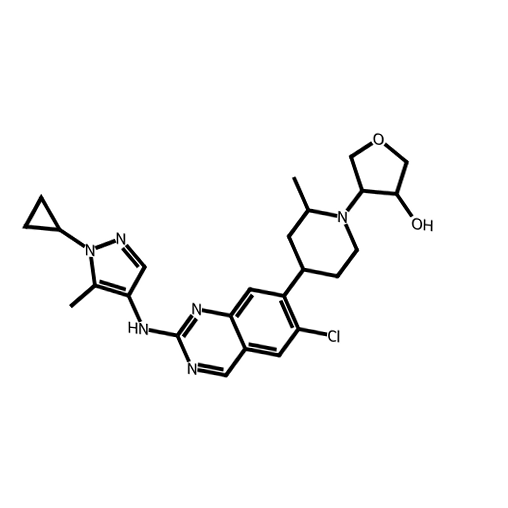 Cc1c(Nc2ncc3cc(Cl)c(C4CCN(C5COCC5O)C(C)C4)cc3n2)cnn1C1CC1